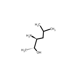 CC(C)C[C@H](N)[C@@H](C)O